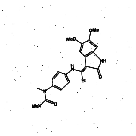 CCC(Nc1ccc(N(C)C(=O)NC)cc1)=C1C(=O)Nc2cc(OC)c(OC)cc21